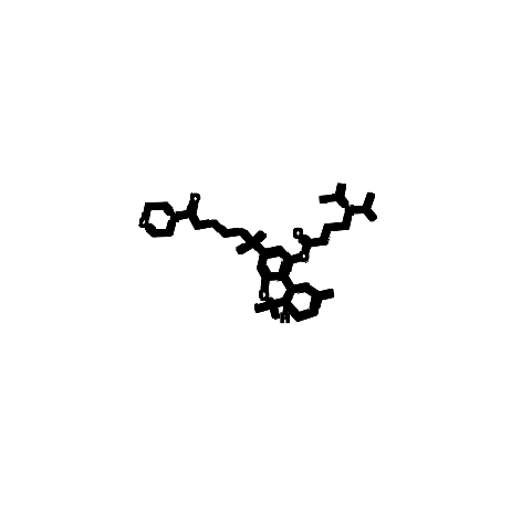 CC1=CC[C@@H]2C(C1)c1c(OC(=O)CCCN(C(C)C)C(C)C)cc(C(C)(C)CCCCC(=O)N3CCOCC3)cc1OC2(C)C